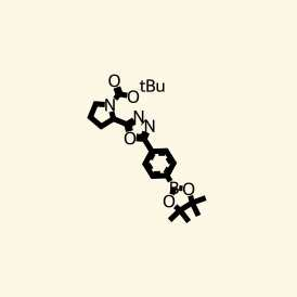 CC(C)(C)OC(=O)N1CCCC1c1nnc(-c2ccc(B3OC(C)(C)C(C)(C)O3)cc2)o1